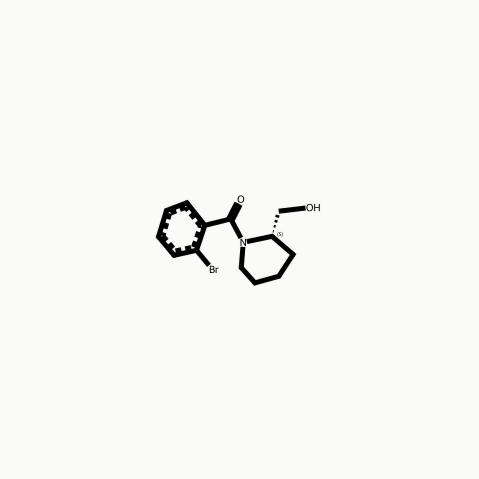 O=C(c1ccccc1Br)N1CCCC[C@H]1CO